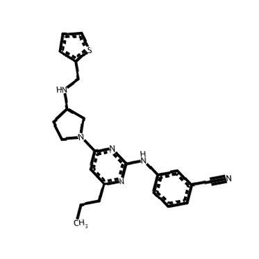 CCCc1cc(N2CCC(NCc3cccs3)C2)nc(Nc2cccc(C#N)c2)n1